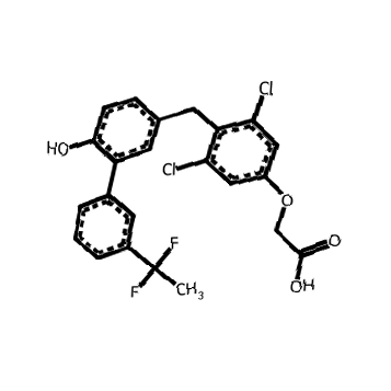 CC(F)(F)c1cccc(-c2cc(Cc3c(Cl)cc(OCC(=O)O)cc3Cl)ccc2O)c1